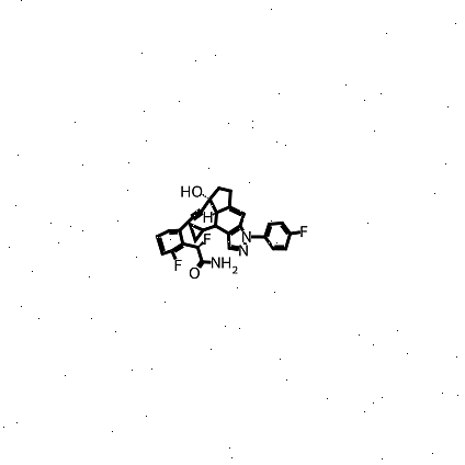 NC(=O)[C@H](F)c1c(F)cccc1C#C[C@@]1(O)CCC2=Cc3c(cnn3-c3ccc(F)cc3)C(C3CC3)[C@H]21